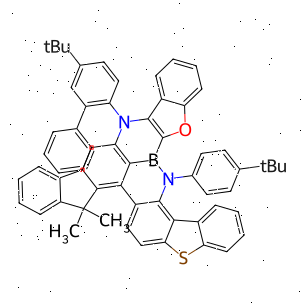 CC(C)(C)c1ccc(N2B3c4oc5ccccc5c4N(c4ccc(C(C)(C)C)cc4-c4ccccc4)c4cc5c(c(c43)-c3ccc4sc6ccccc6c4c32)C(C)(C)c2ccccc2-5)cc1